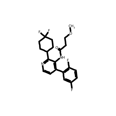 COCCC(=O)Nc1c(-c2cc(F)ccc2F)ccnc1C1CCC(F)(F)CC1